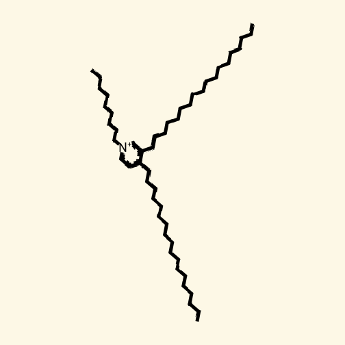 CCCCCCCCCCCCCCCCCCc1cc[n+](CCCCCCCCC)cc1CCCCCCCCCCCCCCCCCC